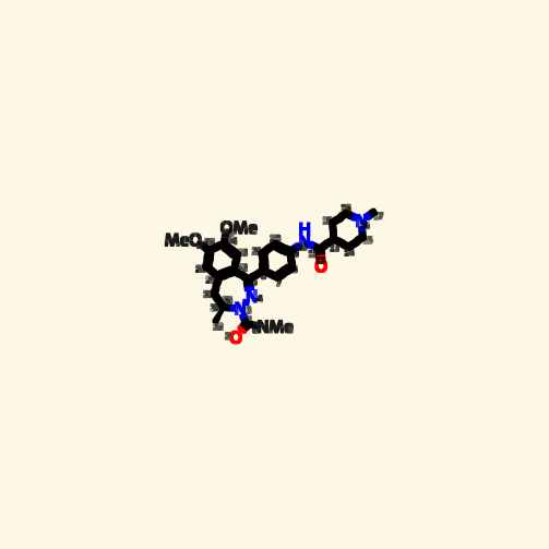 CNC(=O)N1N=C(c2ccc(NC(=O)C3CCN(C)CC3)cc2)c2cc(OC)c(OC)cc2C[C@@H]1C